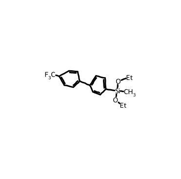 CCO[Si](C)(OCC)c1ccc(-c2ccc(C(F)(F)F)cc2)cc1